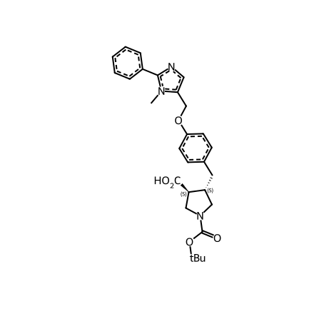 Cn1c(COc2ccc(C[C@@H]3CN(C(=O)OC(C)(C)C)C[C@H]3C(=O)O)cc2)cnc1-c1ccccc1